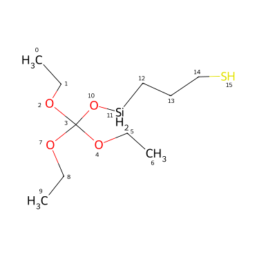 CCOC(OCC)(OCC)O[SiH2]CCCS